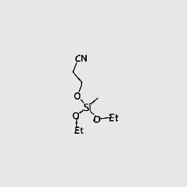 CCO[Si](C)(OCC)OCCC#N